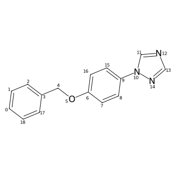 c1ccc(COc2ccc(-n3cncn3)cc2)cc1